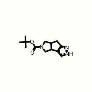 CC(C)(C)OC(=O)N1CC2Cc3n[nH]cc3C2C1